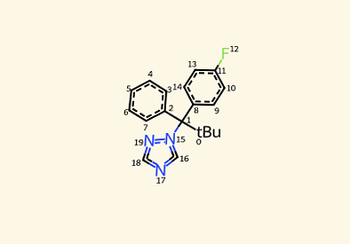 CC(C)(C)C(c1ccccc1)(c1ccc(F)cc1)n1cncn1